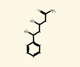 NC(=O)CC(O)CC(O)c1ccccc1